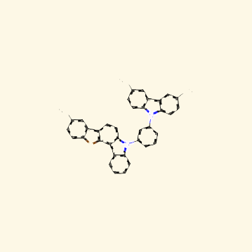 N#Cc1ccc2sc3c(ccc4c3c3ccccc3n4-c3cccc(-n4c5ccc(C#N)cc5c5cc(C#N)ccc54)c3)c2c1